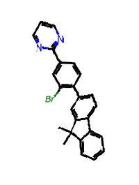 CC1(C)c2ccccc2-c2ccc(-c3ccc(-c4ncccn4)cc3Br)cc21